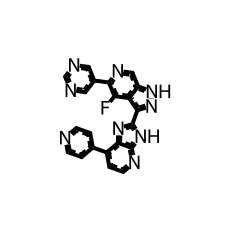 Fc1c(-c2cncnc2)ncc2[nH]nc(-c3nc4c(-c5ccncc5)ccnc4[nH]3)c12